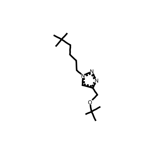 CC(C)(C)CCCCn1cc(COC(C)(C)C)nn1